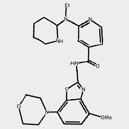 CCN(c1cc(C(=O)Nc2nc3c(OC)ccc(N4CCOCC4)c3s2)ccn1)C1CCCCN1